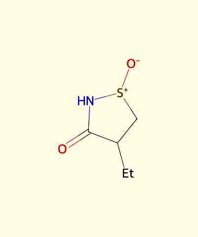 CCC1C[S+]([O-])NC1=O